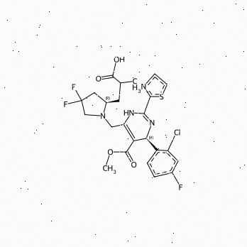 COC(=O)C1=C(CN2CC(F)(F)C[C@H]2CC(C)C(=O)O)NC(c2nccs2)=N[C@H]1c1ccc(F)cc1Cl